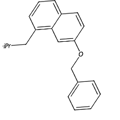 C[C](C)Cc1cccc2ccc(OCc3ccccc3)cc12